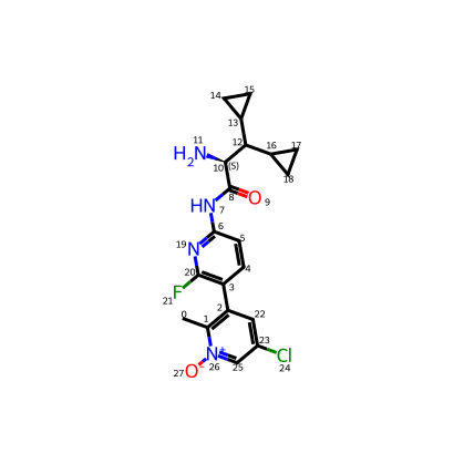 Cc1c(-c2ccc(NC(=O)[C@@H](N)C(C3CC3)C3CC3)nc2F)cc(Cl)c[n+]1[O-]